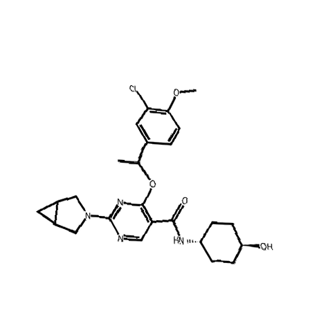 COc1ccc(C(C)Oc2nc(N3CC4CC4C3)ncc2C(=O)N[C@H]2CC[C@H](O)CC2)cc1Cl